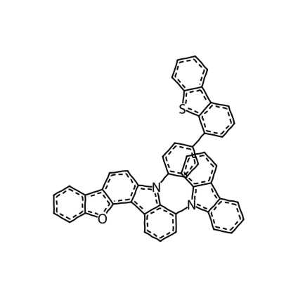 c1ccc2c(c1)oc1c2ccc2c1c1cccc(-n3c4ccccc4c4ccccc43)c1n2-c1ccc(-c2cccc3c2sc2ccccc23)cc1